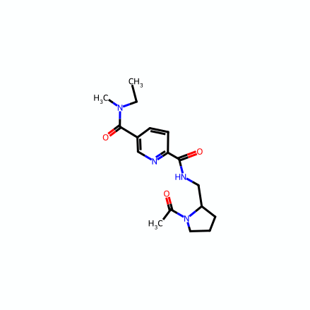 CCN(C)C(=O)c1ccc(C(=O)NCC2CCCN2C(C)=O)nc1